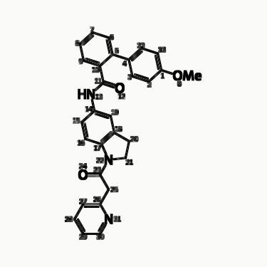 COc1ccc(-c2ccccc2C(=O)Nc2ccc3c(c2)CCN3C(=O)Cc2ccccn2)cc1